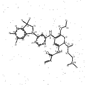 C=CC(=O)NC1=CC(Nc2cc(N3CC(C)(C)c4nc(C)c(C)cc43)ncn2)=C(OCC)CC1N(C)CCN(C)C